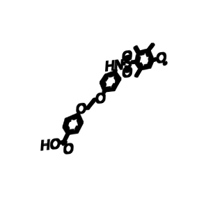 COc1cc(C)c(S(=O)(=O)Nc2ccc(OCCOc3ccc(C(=O)O)cc3)cc2)c(C)c1C